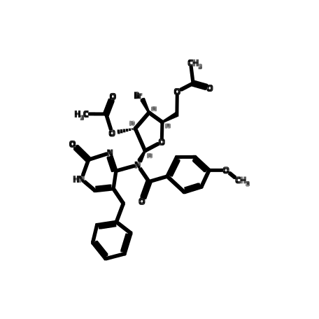 COc1ccc(C(=O)N(c2nc(=O)[nH]cc2Cc2ccccc2)[C@@H]2O[C@H](COC(C)=O)[C@H](Br)[C@H]2OC(C)=O)cc1